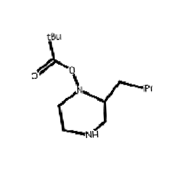 CC(C)CC1CNCCN1OC(=O)C(C)(C)C